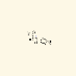 CCOC(=O)/C(O)=C/C(=O)c1ccc(OC)nc1